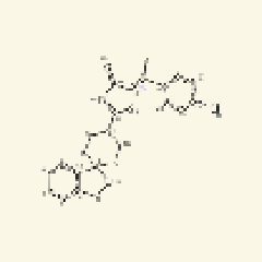 C/C(=C1/SC(N2CCC3(CC2)OCc2ccccc23)=NC1=O)c1ccc(Cl)nc1